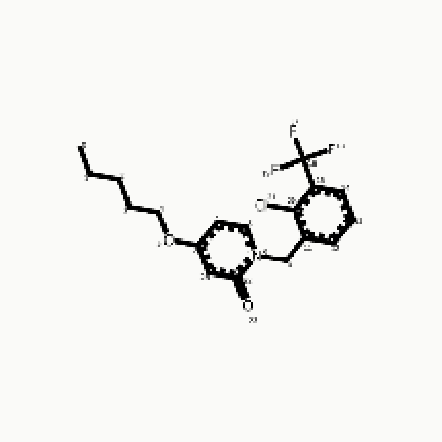 CCCCCOc1ccn(Cc2cccc(C(F)(F)F)c2Cl)c(=O)c1